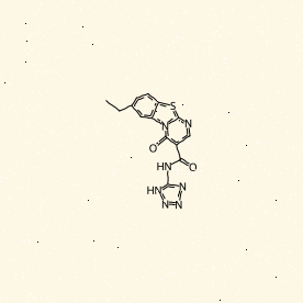 CCc1ccc2sc3ncc(C(=O)Nc4nnn[nH]4)c(=O)n3c2c1